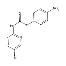 O=C(Nc1ccc(Br)cn1)Oc1ccc([N+](=O)[O-])cc1